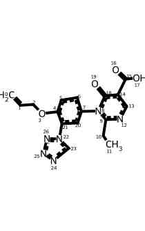 C=CCOc1ccc(-n2c(CC)ncc(C(=O)O)c2=O)cc1-n1cnnn1